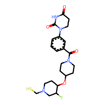 O=C1CCN(c2cccc(C(=O)N3CCC(OC4CCN(CS)CC4F)CC3)c2)C(=O)N1